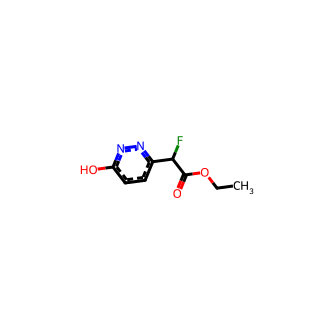 CCOC(=O)C(F)c1ccc(O)nn1